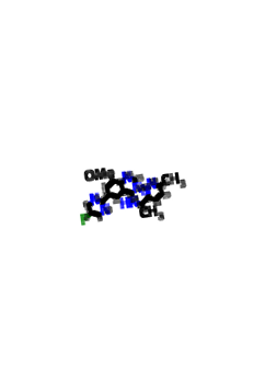 COc1cc(-c2ncc(F)cn2)cc2c(NC(C)c3ccc(C)nn3)ncnc12